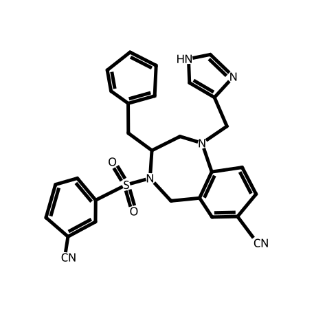 N#Cc1cccc(S(=O)(=O)N2Cc3cc(C#N)ccc3N(Cc3c[nH]cn3)CC2Cc2ccccc2)c1